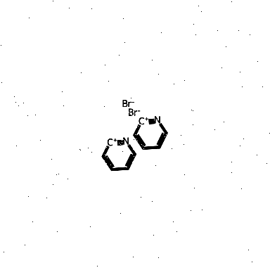 [Br-].[Br-].[C+]1=NC=CC=C1.[C+]1=NC=CC=C1